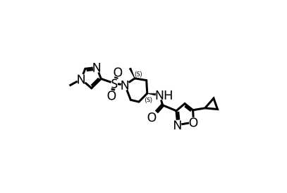 C[C@H]1C[C@@H](NC(=O)c2cc(C3CC3)on2)CCN1S(=O)(=O)c1cn(C)cn1